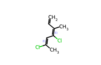 C=C/C(C)=C(Cl)\C=C(/C)Cl